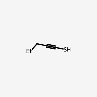 CCCC#CS